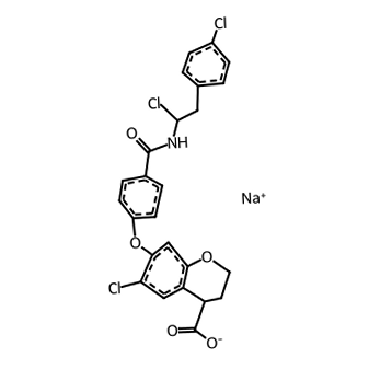 O=C(NC(Cl)Cc1ccc(Cl)cc1)c1ccc(Oc2cc3c(cc2Cl)C(C(=O)[O-])CCO3)cc1.[Na+]